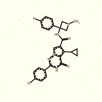 CN1CC(NC(=O)c2cn3nc(-c4ccc(Cl)cc4)[nH]c(=O)c3c2C2CC2)(c2ccc(F)cc2)C1